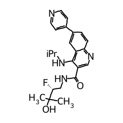 CC(C)Nc1c(C(=O)NC[C@@H](F)C(C)(C)O)cnc2ccc(-c3ccncc3)cc12